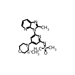 Cc1nc2cccnc2n1-c1cc(N2CCOC[C@H]2C)cc(N=S(C)(C)=O)n1